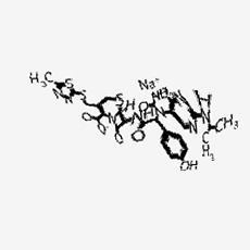 Cc1nnc(SCC2=C(C(=O)[O-])N3C(=O)C(NC(=O)C(c4ccc(O)cc4)N(C(N)=O)c4cnc(NC(C)C)nc4O)[C@@H]3SC2)s1.[Na+]